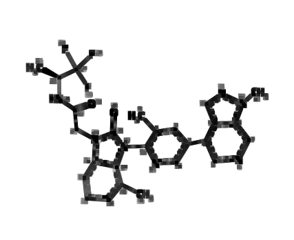 Cc1cc(-c2cncc3c2cnn3C)cnc1-n1c(=O)n(CC(=O)N[C@@H](C)C(F)(F)F)c2cccc(C)c21